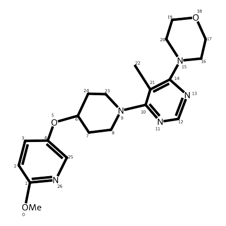 COc1ccc(OC2CCN(c3ncnc(N4CCOCC4)c3C)CC2)cn1